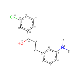 CN(C)c1cccc(CCC(O)c2cccc(Cl)c2)c1